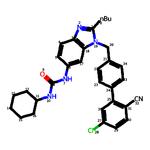 CCCCc1nc2ccc(NC(=O)NC3CCCCC3)cc2n1Cc1ccc(-c2cc(Cl)ccc2C#N)cc1